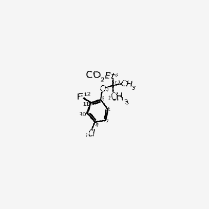 CCOC(=O)C(C)(C)Oc1ccc(Cl)cc1F